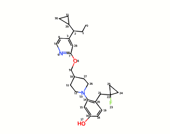 CCC(c1ccnc(OCC2CCN(c3cc(O)ccc3CC3(F)CC3)CC2)c1)C1CC1